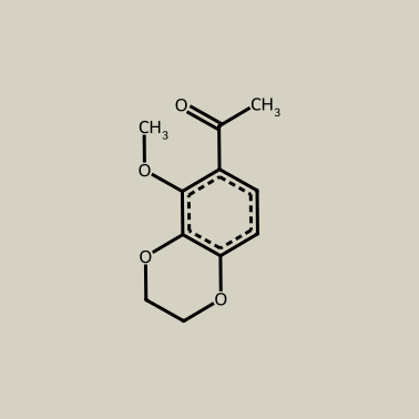 COc1c(C(C)=O)ccc2c1OCCO2